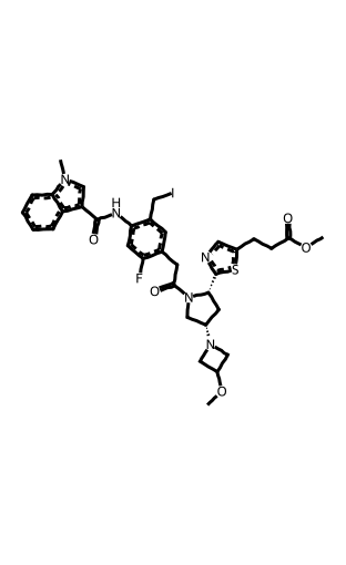 COC(=O)CCc1cnc([C@@H]2C[C@H](N3CC(OC)C3)CN2C(=O)Cc2cc(CI)c(NC(=O)c3cn(C)c4ccccc34)cc2F)s1